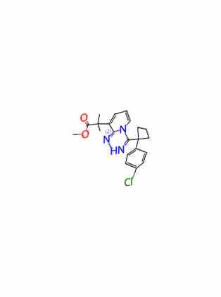 C/N=c1/c(C(C)(C)C(=O)OC)cccn1C(=N)C1(c2ccc(Cl)cc2)CCC1